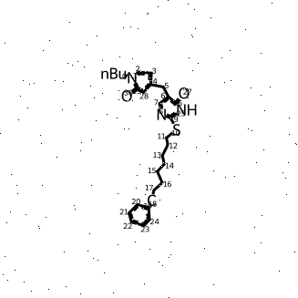 CCCCn1ccc(Cc2cnc(SCCCCCCCCc3ccccc3)[nH]c2=O)cc1=O